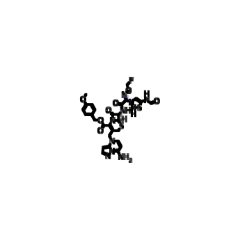 COc1ccc(COC(=O)C2=C(Cn3ccc(N)[n+]4nccc3-4)CS[C@@H]3[C@H](NC(=O)/C(=N/OCF)N4C=C(NC=O)SN4)C(=O)N23)cc1